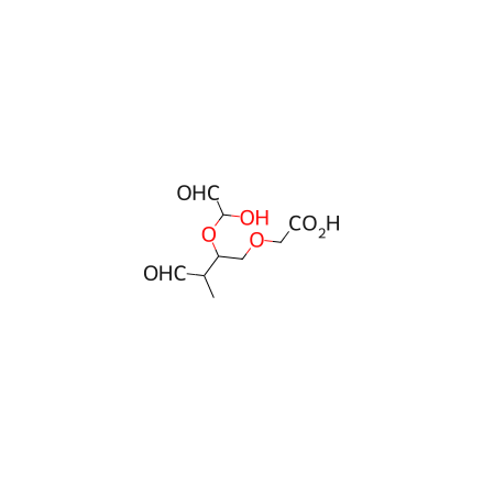 CC(C=O)C(COCC(=O)O)OC(O)C=O